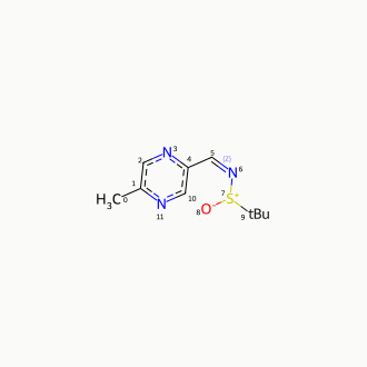 Cc1cnc(/C=N\[S+]([O-])C(C)(C)C)cn1